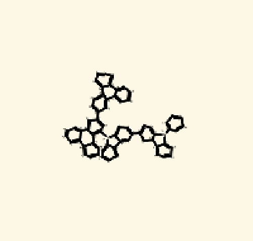 C1=C(c2ccc3c(c2)c2ccccc2n3-c2cc(-c3ccc4c5ccccc5c5ccccc5c4c3)cc3c4ccccc4c4ccccc4c23)CC2C(=C1)N(c1ccccc1)c1ccccc12